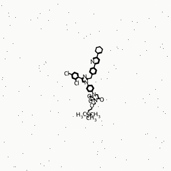 C[Si](C)(C)CCOCN1C(=O)CN(c2ccc(-n3cc(-c4ccc(Cl)cc4Cl)nc3Cc3ccc(-c4ccc(C5=CCCCC5)cn4)cc3)cc2)S1(=O)=O